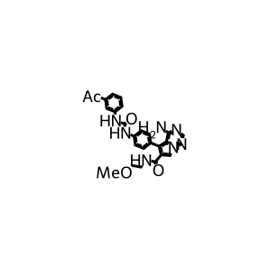 COCCNC(=O)c1cn2ncnc(N)c2c1-c1ccc(NC(=O)Nc2cccc(C(C)=O)c2)cc1